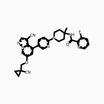 CC1(NC(=O)c2ncccc2F)CCN(c2ccc(-c3cc(OCC4(C#N)CC4)cn4ncc(C#N)c34)cn2)CC1